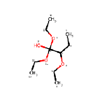 CCOC(CC)C(O)(OCC)OCC